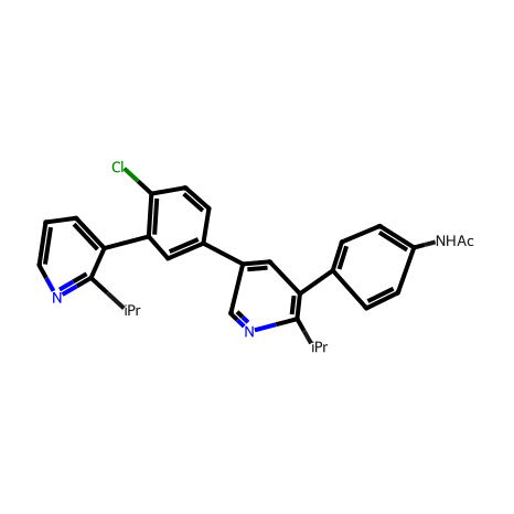 CC(=O)Nc1ccc(-c2cc(-c3ccc(Cl)c(-c4cccnc4C(C)C)c3)cnc2C(C)C)cc1